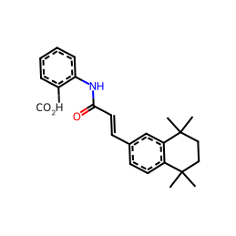 CC1(C)CCC(C)(C)c2cc(C=CC(=O)Nc3ccccc3C(=O)O)ccc21